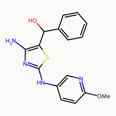 COc1ccc(Nc2nc(N)c(C(O)c3ccccc3)s2)cn1